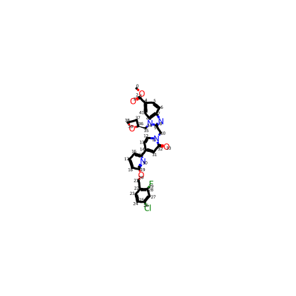 COC(=O)c1ccc2nc(Cn3ccc(-c4cccc(OCc5ccc(Cl)cc5F)n4)cc3=O)n(C[C@@H]3CCO3)c2c1